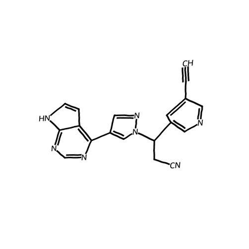 C#Cc1cncc(C(CC#N)n2cc(-c3ncnc4[nH]ccc34)cn2)c1